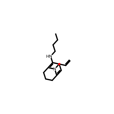 C=CCN1C2=CCC(NCCCC)=C1CCC2